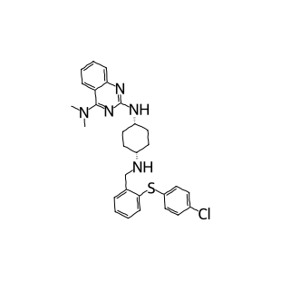 CN(C)c1nc(N[C@H]2CC[C@@H](NCc3ccccc3Sc3ccc(Cl)cc3)CC2)nc2ccccc12